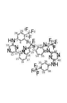 FC(F)(F)c1ccc(Nc2cncc(-c3cccc4cc(C(F)(F)F)nn34)n2)cc1.FC(F)(F)c1ccc(Nc2cncc(-n3c(C(F)(F)F)nc4ccccc43)n2)cc1